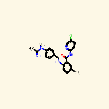 CC(=N)N(C)c1ccc(CNc2ccc(C)cc2C(=O)Nc2ccc(Cl)cn2)cc1